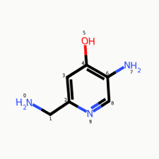 NCc1cc(O)c(N)cn1